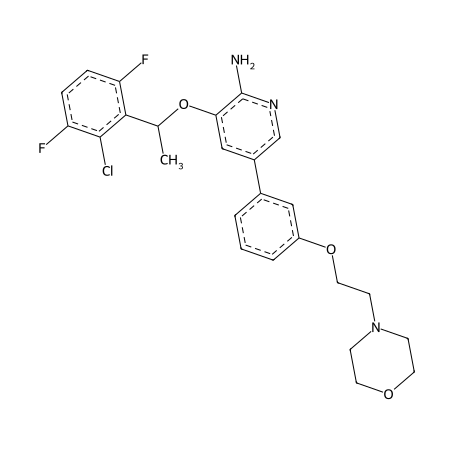 CC(Oc1cc(-c2cccc(OCCN3CCOCC3)c2)cnc1N)c1c(F)ccc(F)c1Cl